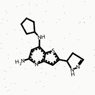 Nc1cc(NC2CCCC2)c2sc(C3CC=NN3)cc2n1